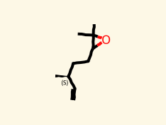 C=C[C@@H](C)CCC1OC1(C)C